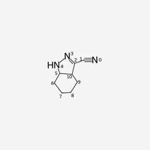 N#CC1=NNC2CCCCC12